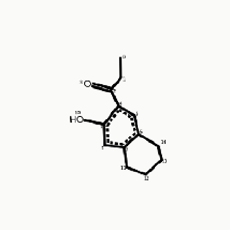 CCC(=O)c1cc2c(cc1O)CCCC2